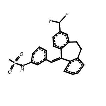 CS(=O)(=O)Nc1cccc(/C=C2/c3ccccc3CCc3cc(C(F)F)ccc32)c1